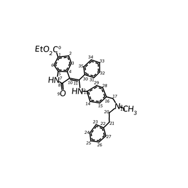 CCOC(=O)c1ccc2c(c1)NC(=O)/C2=C(\Nc1ccc(CN(C)CCc2ccccc2)cc1)c1ccccc1